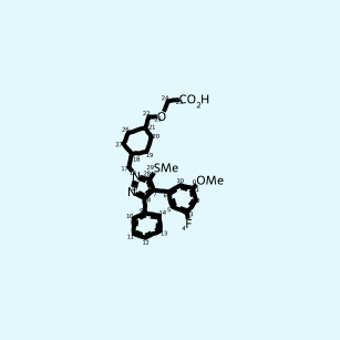 COc1cc(F)cc(-c2c(-c3ccccc3)nn(CC3CCC(COCC(=O)O)CC3)c2SC)c1